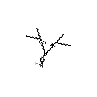 CCCCCCCCC(CCCCCC)COC(=O)CCCCCN(CCCCCC(=O)OCC(CCCCCC)CCCCCCCC)CCN1CCC(O)(CN(C)C)CC1